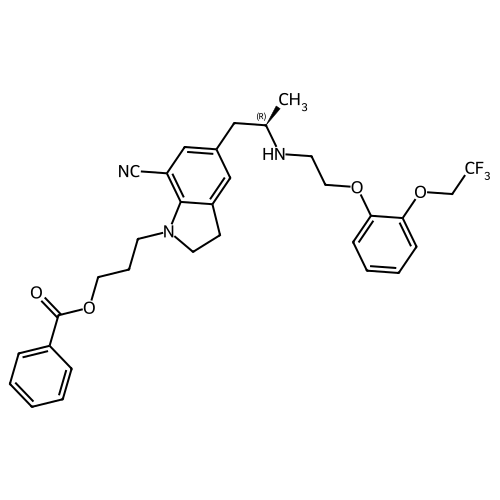 C[C@H](Cc1cc(C#N)c2c(c1)CCN2CCCOC(=O)c1ccccc1)NCCOc1ccccc1OCC(F)(F)F